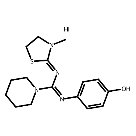 CN1CCSC1=NC(=Nc1ccc(O)cc1)N1CCCCC1.I